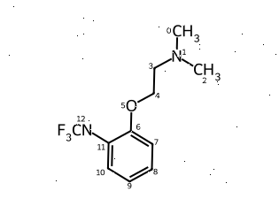 CN(C)CCOc1ccccc1NC(F)(F)F